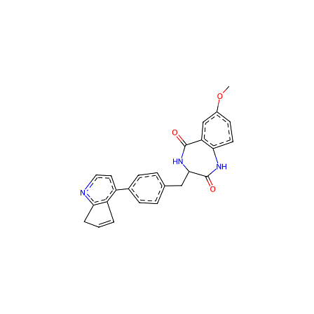 COc1ccc2c(c1)C(=O)NC(Cc1ccc(-c3ccnc4c3C=CC4)cc1)C(=O)N2